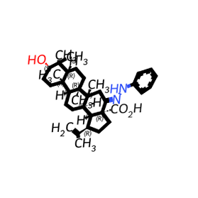 C=C(C)[C@@H]1CC[C@]2(C(=O)O)C(=NNc3ccccc3)C[C@]3(C)[C@H](CC[C@@H]4[C@@]5(C)CC[C@H](O)C(C)(C)[C@@H]5CC[C@]43C)[C@@H]12